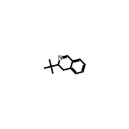 CC(C)(C)C1Cc2ccccc2C=N1